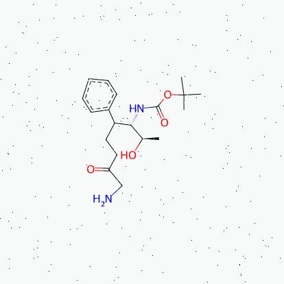 C[C@@H](O)[C@@H](NC(=O)OC(C)(C)C)C(CCC(=O)CN)c1ccccc1